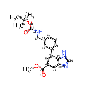 COC(=O)c1cc(-c2cccc(CNC(=O)OC(C)(C)C)c2)c2[nH]cnc2c1